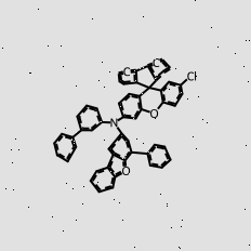 Clc1ccc2c(c1)C1(c3ccc(N(c4cccc(-c5ccccc5)c4)c4cc(-c5ccccc5)c5oc6ccccc6c5c4)cc3O2)c2ccccc2-c2ccccc21